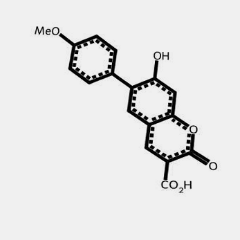 COc1ccc(-c2cc3cc(C(=O)O)c(=O)oc3cc2O)cc1